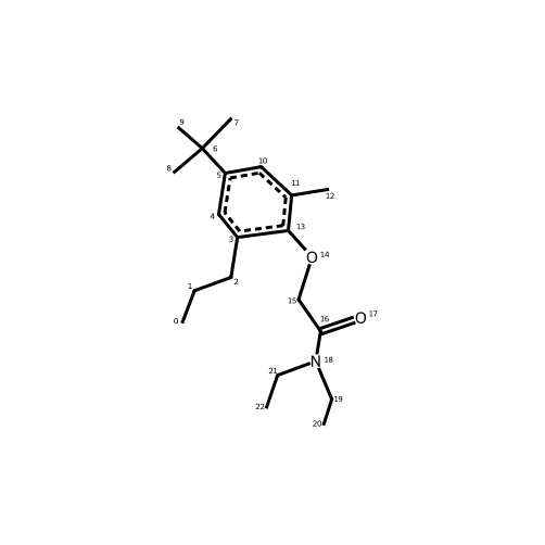 CCCc1cc(C(C)(C)C)cc(C)c1OCC(=O)N(CC)CC